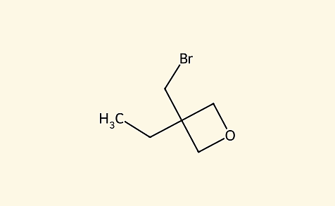 CCC1(CBr)COC1